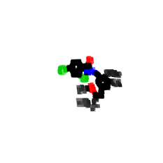 COc1c(C#N)cc(CC(OC(C)C)C(=O)O)cc1CNC(=O)c1ccc(Cl)cc1Cl